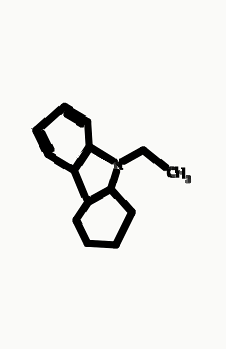 CCN1C2C=CC=CC2C2CCCCC21